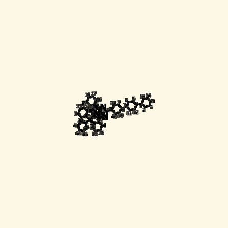 c1ccc(-c2ccc(-c3ccc(-c4nc(-c5ccccc5)nc(-c5cccc6c5C(c5ccccc5)(c5ccccc5)c5ccccc5-6)n4)cc3)cc2)cc1